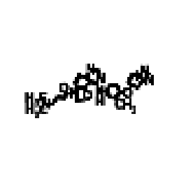 Cc1cc(Nc2ncnc3ccc4c(c23)OCCN4C(=O)/C=C/CN(C)C)ccc1Oc1ccn2ncnc2c1